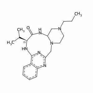 CCCN1CCN2Cc3nc(c4ccccc4n3)N[C@@H](C(C)C)C(=O)NC2C1